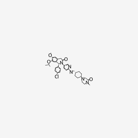 COc1cc2c(cc1OC(C)C)[C@H](c1ccc(Cl)cc1)N(c1ccc(N(C)C[C@H]3CC[C@H](N4CCN(C)C(=O)C4)CC3)nc1)C(=O)C2